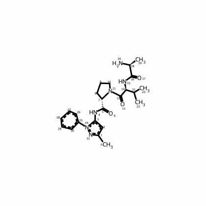 Cc1cc(NC(=O)[C@@H]2CCCN2C(=O)[C@@H](NC(=O)[C@H](C)N)C(C)C)n(-c2ccccc2)n1